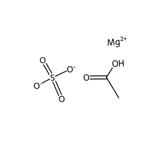 CC(=O)O.O=S(=O)([O-])[O-].[Mg+2]